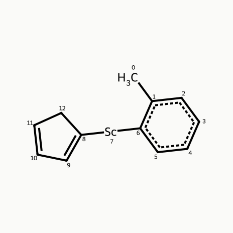 Cc1cccc[c]1[Sc][C]1=CC=CC1